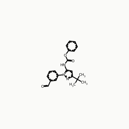 CC(C)(C)c1cc(NC(=O)Oc2ccccc2)n(-c2cccc(C=O)c2)n1